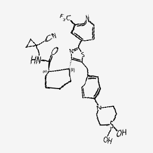 N#CC1(NC(=O)[C@@H]2CCCC[C@H]2c2nc(-c3ccnc(C(F)(F)F)c3)sc2-c2ccc(N3CCS(O)(O)CC3)cc2)CC1